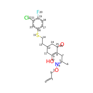 C=CCON=C(C)CC1=C(O)CC(CCSc2ccc(F)c(Cl)c2)CC1=O